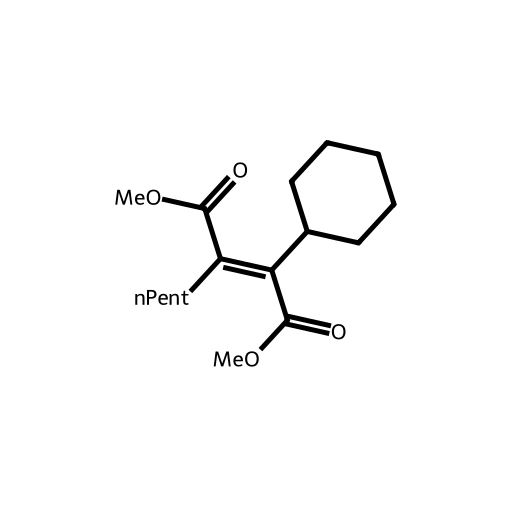 CCCCCC(C(=O)OC)=C(C(=O)OC)C1CCCCC1